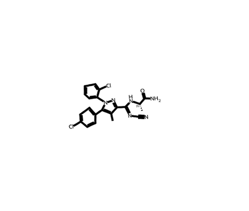 Cc1c(C(=NC#N)N[C@@H](C)C(N)=O)nn(-c2ccccc2Cl)c1-c1ccc(Cl)cc1